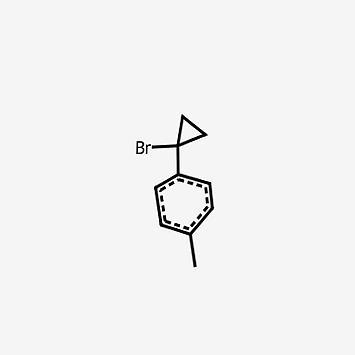 Cc1ccc(C2(Br)CC2)cc1